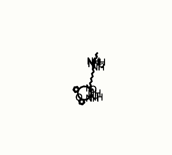 C/C=C/CNC(=NN)NCCCCCCCCN1CCCc2ccccc2COc2ccccc2CNC(=N)NC1=O